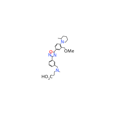 COCc1cc(-c2nc(-c3cccc(CN(C)CCC(=O)O)c3)no2)ccc1N1CCCCC1C